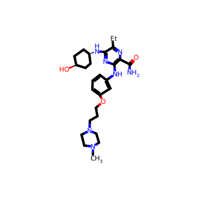 CCc1nc(C(N)=O)c(Nc2cccc(OCCCN3CCN(C)CC3)c2)nc1N[C@H]1CC[C@H](O)CC1